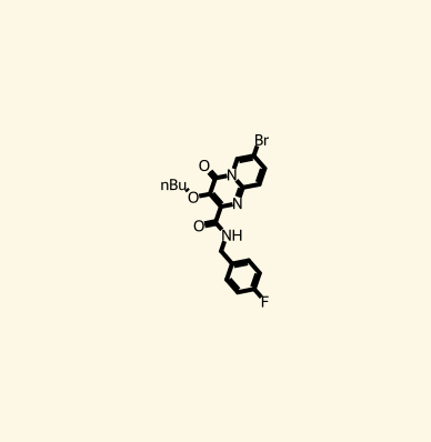 CCCCOc1c(C(=O)NCc2ccc(F)cc2)nc2ccc(Br)cn2c1=O